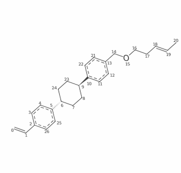 C=Cc1ccc([C@H]2CC[C@H](c3ccc(COCCC=CC)cc3)CC2)cc1